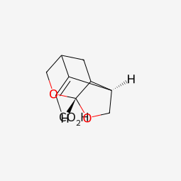 O=C(O)/C=C1/C2CO[C@H]3OC[C@@H]1C3C2